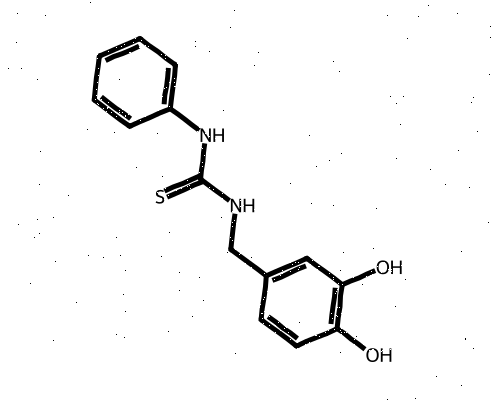 Oc1ccc(CNC(=S)Nc2ccccc2)cc1O